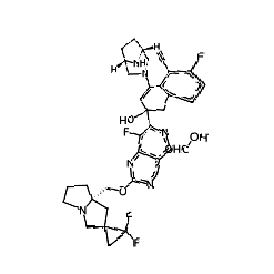 C#Cc1c(F)ccc2c1C(N1C[C@H]3CC[C@@H](C1)N3)=CC(O)(c1ncc3cnc(OC[C@@]45CCCN4C[C@@]4(CC4(F)F)C5)nc3c1F)C2.O=CO